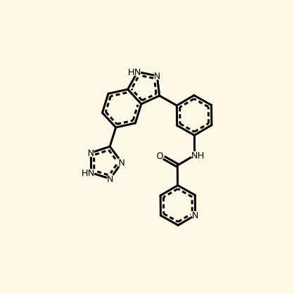 O=C(Nc1cccc(-c2n[nH]c3ccc(-c4nn[nH]n4)cc23)c1)c1cccnc1